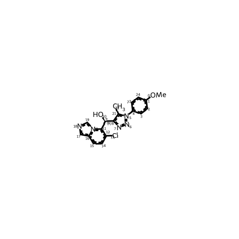 COc1ccc(-n2nnc([C@H](O)c3c(Cl)ccc4cncn34)c2C)cc1